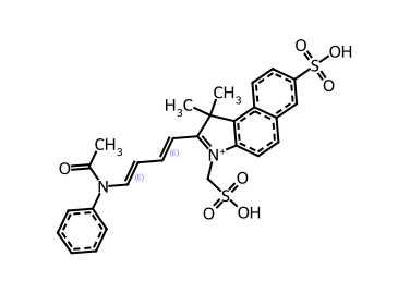 CC(=O)N(/C=C/C=C/C1=[N+](CS(=O)(=O)O)c2ccc3cc(S(=O)(=O)O)ccc3c2C1(C)C)c1ccccc1